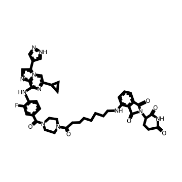 O=C1CCC(N2C(=O)c3cccc(NCCCCCCCC(=O)N4CCN(C(=O)c5ccc(Nc6nc(C7CC7)cn7c(-c8cn[nH]c8)cnc67)c(F)c5)CC4)c3C2=O)C(=O)N1